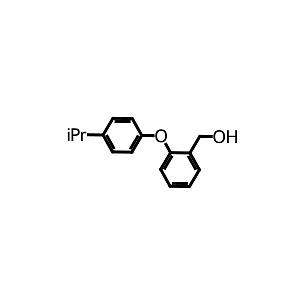 CC(C)c1ccc(Oc2ccccc2CO)cc1